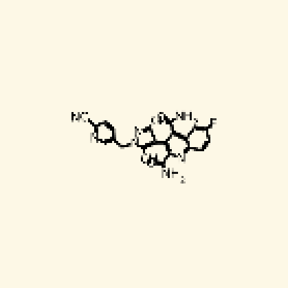 Cc1nn(Cc2ccc(C#N)nc2)c(C)c1-c1c(C(N)=O)nc2ccc(F)cc2c1C(N)=O